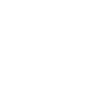 C=CCC1=C(O)C(=O)c2c(ccc3ccc(Cl)cc23)C1=O